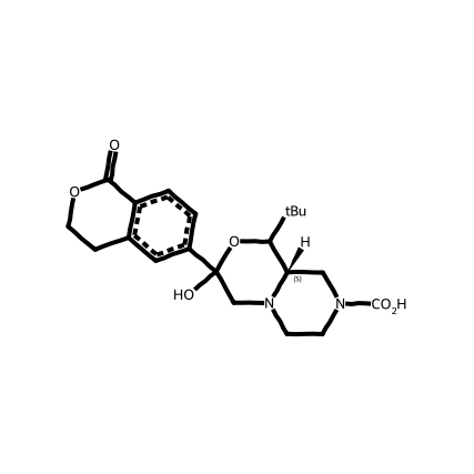 CC(C)(C)C1OC(O)(c2ccc3c(c2)CCOC3=O)CN2CCN(C(=O)O)C[C@@H]12